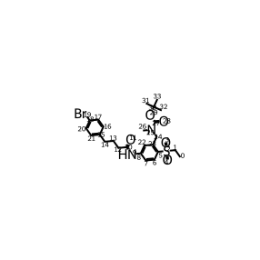 CCS(=O)(=O)c1ccc(NC(=O)CCCc2ccc(Br)cc2)cc1CN(C)C(=O)OC(C)(C)C